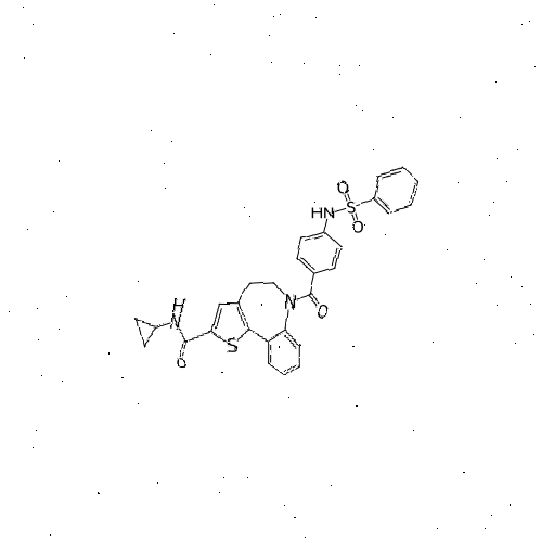 O=C(NC1CC1)c1cc2c(s1)-c1ccccc1N(C(=O)c1ccc(NS(=O)(=O)c3ccccc3)cc1)CC2